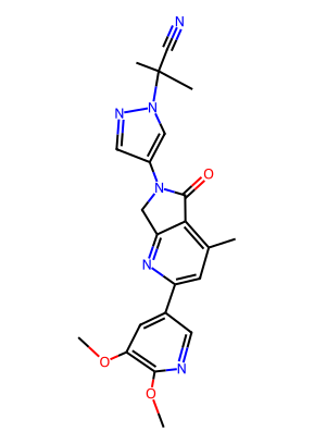 COc1cc(-c2cc(C)c3c(n2)CN(c2cnn(C(C)(C)C#N)c2)C3=O)cnc1OC